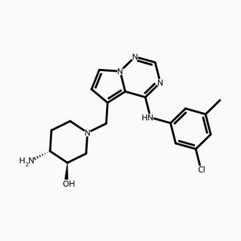 Cc1cc(Cl)cc(Nc2ncnn3ccc(CN4CC[C@@H](N)[C@H](O)C4)c23)c1